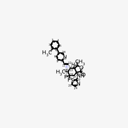 Cc1ccccc1-c1ccc(/C=C/[C@@H]2[C@@H]3[C@@H](C)OC(=O)[C@]3(Nc3nccs3)CC(F)(F)[C@H]2C)nc1